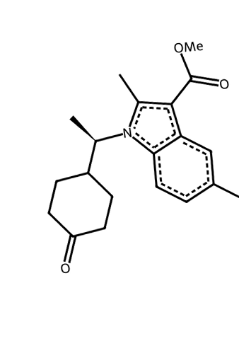 COC(=O)c1c(C)n([C@H](C)C2CCC(=O)CC2)c2ccc(F)cc12